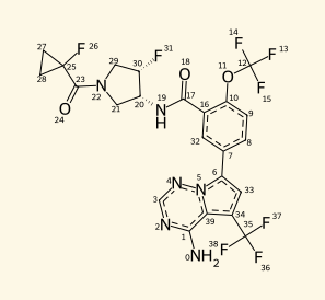 Nc1ncnn2c(-c3ccc(OC(F)(F)F)c(C(=O)N[C@@H]4CN(C(=O)C5(F)CC5)C[C@@H]4F)c3)cc(C(F)(F)F)c12